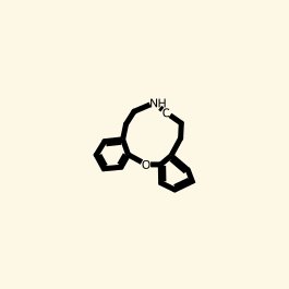 c1ccc2c(c1)CCCNCCc1ccccc1O2